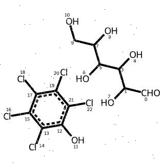 O=CC(O)C(O)C(O)C(O)CO.Oc1c(Cl)c(Cl)c(Cl)c(Cl)c1Cl